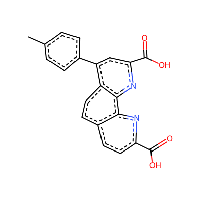 Cc1ccc(-c2cc(C(=O)O)nc3c2ccc2ccc(C(=O)O)nc23)cc1